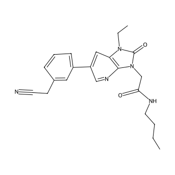 CCCCNC(=O)Cn1c(=O)n(CC)c2cc(-c3cccc(CC#N)c3)cnc21